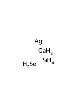 [Ag].[GaH3].[SeH2].[SiH4]